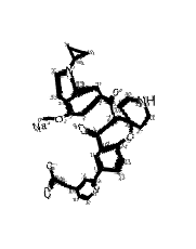 COc1cc(C(=O)[C@@H]2C(=O)c3cc(-c4cc(C(=O)[O-])ccn4)ccc3OC23CCNCC3)cc2c1ccn2C1CC1.[Na+]